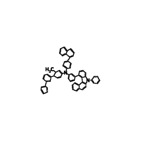 CC1C=C(N(c2ccc(-c3cccc4ccccc34)cc2)c2cccc(-c3cccc4c3c3c5ccccc5ccc3n4-c3ccccc3)c2)C=CC1c1cccc(-c2ccccc2)c1